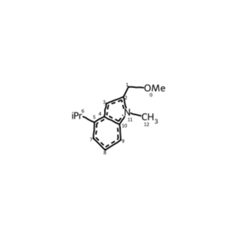 COCc1cc2c(C(C)C)cccc2n1C